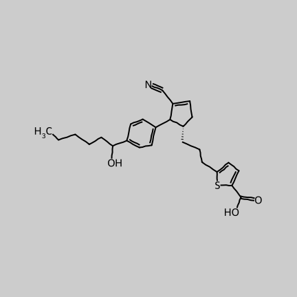 CCCCCC(O)c1ccc(C2C(C#N)=CC[C@@H]2CCCc2ccc(C(=O)O)s2)cc1